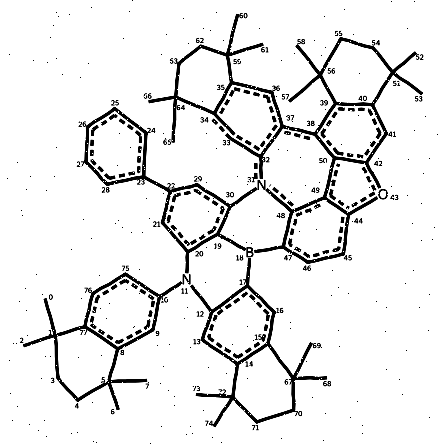 CC1(C)CCC(C)(C)c2cc(N3c4cc5c(cc4B4c6c3cc(-c3ccccc3)cc6-n3c6cc7c(cc6c6c8c(cc9oc%10ccc4c3c%10c96)C(C)(C)CCC8(C)C)C(C)(C)CCC7(C)C)C(C)(C)CCC5(C)C)ccc21